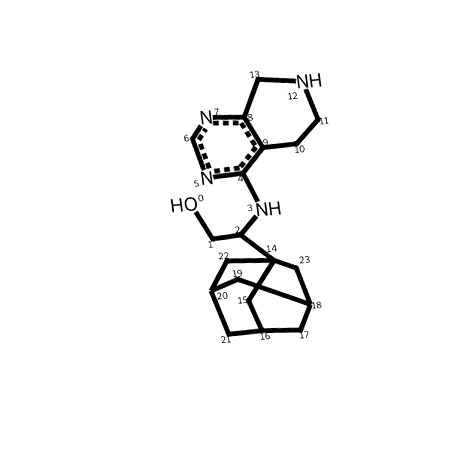 OCC(Nc1ncnc2c1CCNC2)C12CC3CC(CC(C3)C1)C2